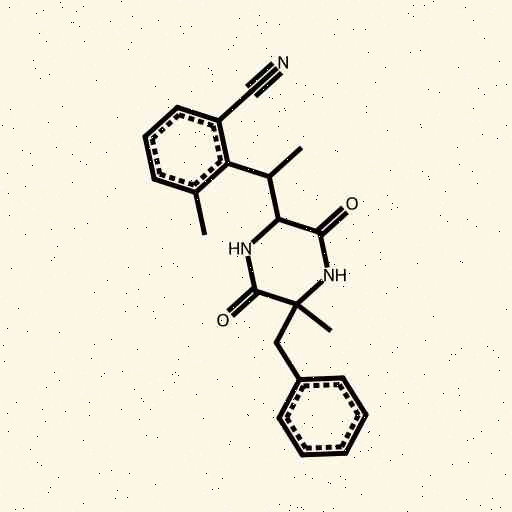 Cc1cccc(C#N)c1C(C)C1NC(=O)C(C)(Cc2ccccc2)NC1=O